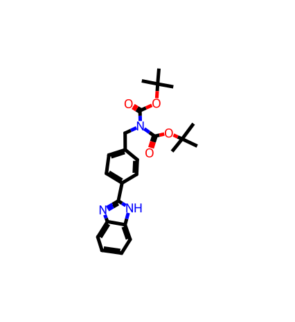 CC(C)(C)OC(=O)N(Cc1ccc(-c2nc3ccccc3[nH]2)cc1)C(=O)OC(C)(C)C